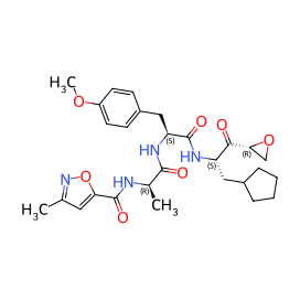 COc1ccc(C[C@H](NC(=O)[C@@H](C)NC(=O)c2cc(C)no2)C(=O)N[C@@H](CC2CCCC2)C(=O)[C@H]2CO2)cc1